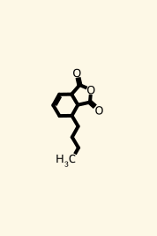 CCCCC1CC=CC2C(=O)OC(=O)C12